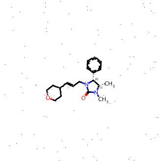 C[C@H]1[C@@H](c2ccccc2)N(C/C=C/C2CCOCC2)C(=O)N1C